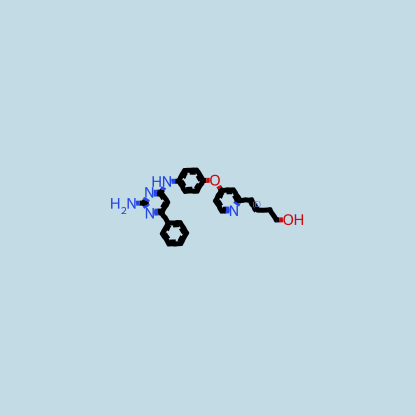 Nc1nc(Nc2ccc(Oc3ccnc(/C=C/CCO)c3)cc2)cc(-c2ccccc2)n1